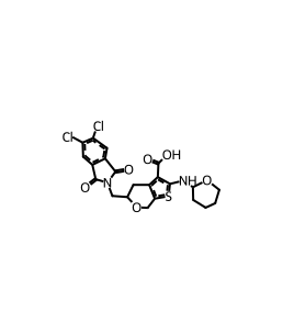 O=C(O)c1c(NC2CCCCO2)sc2c1CC(CN1C(=O)c3cc(Cl)c(Cl)cc3C1=O)OC2